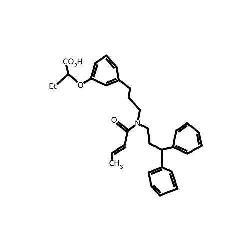 CC=CC(=O)N(CCCc1cccc(OC(CC)C(=O)O)c1)CCC(c1ccccc1)c1ccccc1